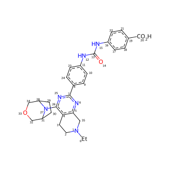 CCN1CCc2c(nc(-c3ccc(NC(=O)Nc4ccc(C(=O)O)cc4)cc3)nc2N2C3CCC2COC3)C1